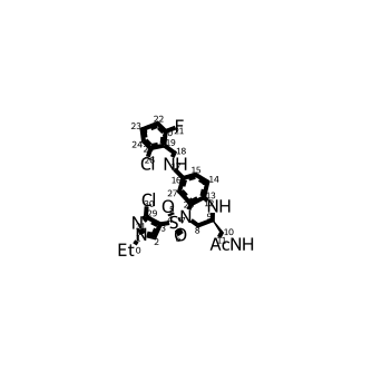 CCn1cc(S(=O)(=O)N2C[C@H](CNC(C)=O)Nc3ccc(NCc4c(F)cccc4Cl)cc32)c(Cl)n1